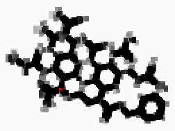 CCOCCN(C(=O)OCc1ccccc1)C1O[C@@H](COC(C)=O)[C@@H](OC(C)=O)[C@H](OC(C)=O)[C@@H]1O[C@H]1O[C@H](COC(C)=O)[C@@H](OC(C)=O)[C@@H](OC(=O)NC)[C@@H]1OC(C)=O